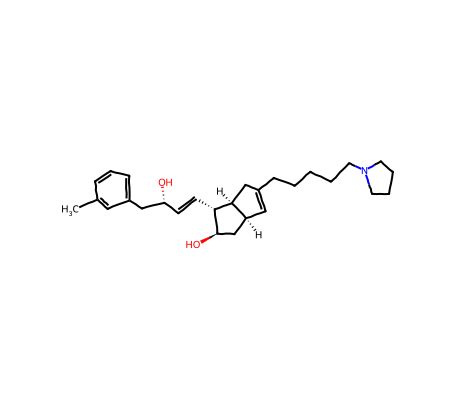 Cc1cccc(C[C@H](O)/C=C/[C@@H]2[C@H]3CC(CCCCCN4CCCC4)=C[C@H]3C[C@H]2O)c1